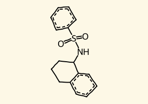 O=S(=O)(NC1CCCc2ccccc21)c1ccccc1